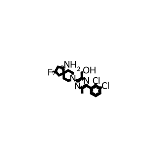 Cc1nc(N2CCC3(CC2)C[C@@H](F)C[C@H]3N)c(CO)nc1-c1cccc(Cl)c1Cl